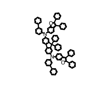 c1ccc(-c2cccc(N(c3ccc4c(c3)C(c3ccccc3)(c3ccccc3)c3cc(N(c5cccc(-c6ccccc6)c5)c5ccc6c(-c7ccccc7)c(-c7ccccc7)oc6c5)ccc3-4)c3ccc4c(-c5ccccc5)c(-c5ccccc5)oc4c3)c2)cc1